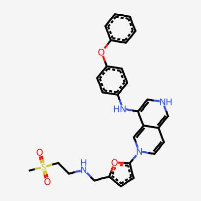 CS(=O)(=O)CCNCc1ccc(N2C=CC3=CNC=C(Nc4ccc(Oc5ccccc5)cc4)C3=C2)o1